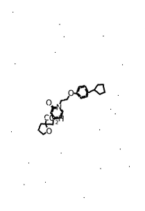 O=C(O)C1(Cc2ccn(CCOc3ccc(C4CCCC4)cc3)c(=O)c2)CCCO1